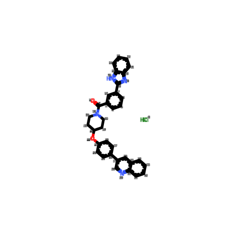 Cl.O=C(c1cccc(-c2nc3ccccc3[nH]2)c1)N1CCC(Oc2ccc(-c3cnc4ccccc4c3)cc2)CC1